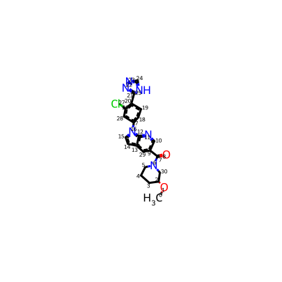 CO[C@H]1CCCN(C(=O)c2cnc3c(ccn3-c3ccc(-c4nnc[nH]4)c(Cl)c3)c2)C1